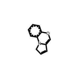 C1=CC2=COc3ccccc3N2C1